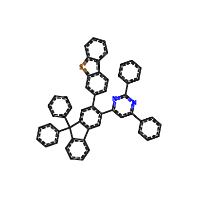 c1ccc(-c2cc(-c3cc4c(cc3-c3ccc5c(c3)sc3ccccc35)C(c3ccccc3)(c3ccccc3)c3ccccc3-4)nc(-c3ccccc3)n2)cc1